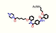 CC(=O)NCCCOc1ccccc1C(=O)Nc1ccc(C(=O)N(C)c2ccccc2OCCCCCC(=O)N2CCN(C)CC2)cc1